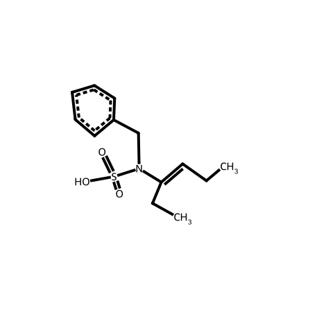 CCC=C(CC)N(Cc1ccccc1)S(=O)(=O)O